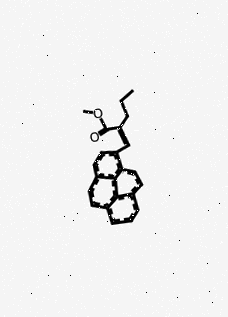 CCCC(=Cc1ccc2ccc3cccc4ccc1c2c34)C(=O)OC